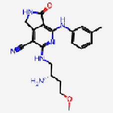 COCC[C@H](N)CNc1nc(Nc2cccc(C)c2)c2c(c1C#N)CNC2=O